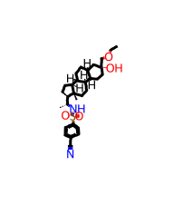 CCOC[C@@]1(O)CC[C@H]2[C@H](CC[C@@H]3[C@@H]2CC[C@]2(C)[C@@H]([C@@H](C)NS(=O)(=O)c4ccc(C#N)cc4)CC[C@@H]32)C1